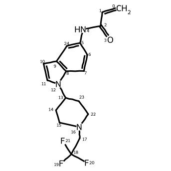 C=CC(=O)Nc1ccc2c(ccn2C2CCN(CC(F)(F)F)CC2)c1